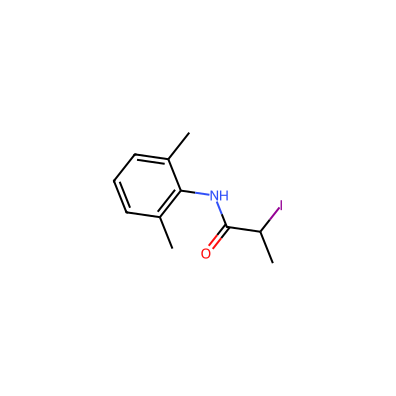 Cc1cccc(C)c1NC(=O)C(C)I